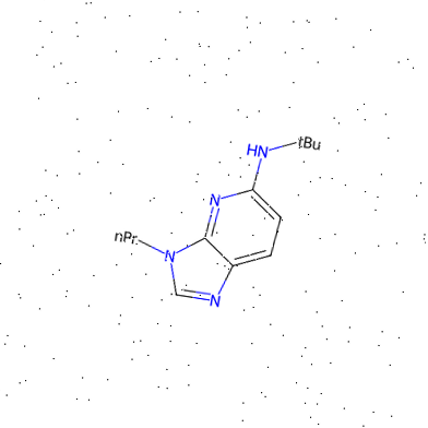 CCCn1[c]nc2ccc(NC(C)(C)C)nc21